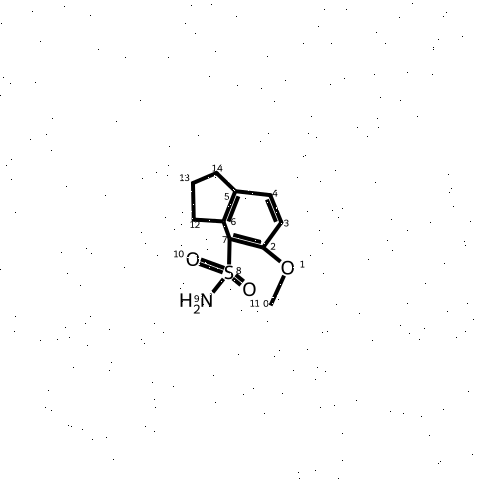 COc1ccc2c(c1S(N)(=O)=O)CCC2